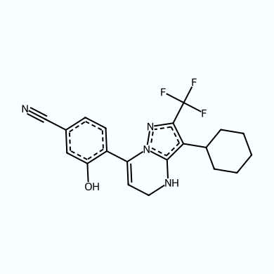 N#Cc1ccc(C2=CCNc3c(C4CCCCC4)c(C(F)(F)F)nn32)c(O)c1